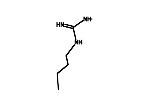 CCCCNC([NH])=N